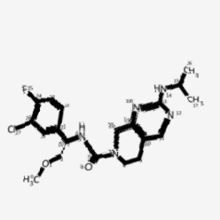 COC[C@@H](NC(=O)N1CCc2cnc(NC(C)C)nc2C1)c1ccc(F)c(Cl)c1